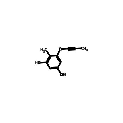 CC#COc1cc(O)cc(O)c1C